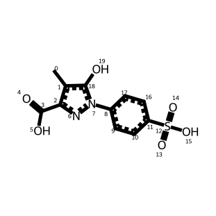 Cc1c(C(=O)O)nn(-c2ccc(S(=O)(=O)O)cc2)c1O